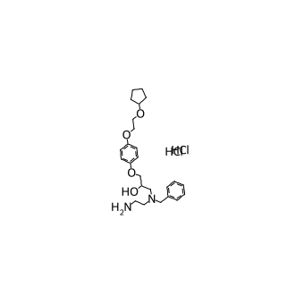 Cl.Cl.NCCN(Cc1ccccc1)CC(O)COc1ccc(OCCOC2CCCC2)cc1